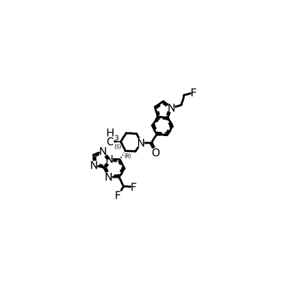 C[C@H]1CCN(C(=O)c2ccc3c(ccn3CCF)c2)C[C@@H]1c1cc(C(F)F)nc2ncnn12